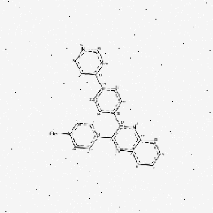 CC(C)(C)c1ccc(-c2nc3ccccc3nc2-c2ccc(-c3ccncc3)cc2)cc1